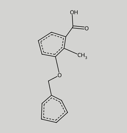 Cc1c(OCc2ccccc2)cccc1C(=O)O